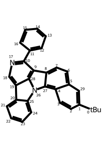 CC(C)(C)c1ccc2c(ccc3c4c(-c5ccccc5)ncc5c6ccccc6n(c23)c54)c1